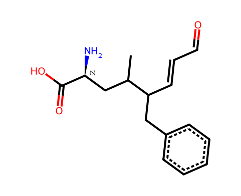 CC(C[C@H](N)C(=O)O)C(C=CC=O)Cc1ccccc1